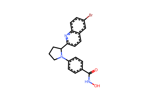 O=C(NO)c1ccc(N2CCCC2c2ccc3cc(Br)ccc3n2)cc1